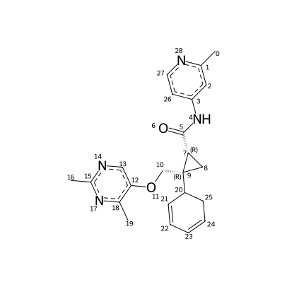 Cc1cc(NC(=O)[C@@H]2C[C@@]2(COc2cnc(C)nc2C)C2C=CC=CC2)ccn1